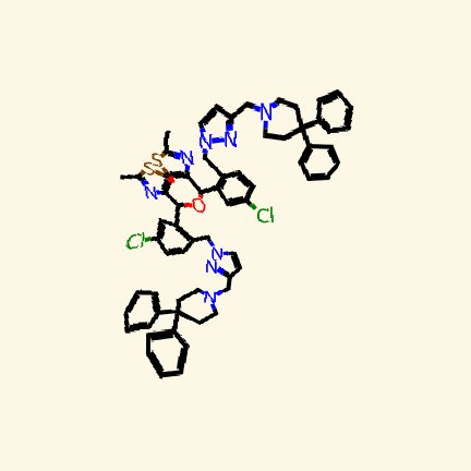 Cc1nc(C(OC(c2csc(C)n2)c2cc(Cl)ccc2Cn2ccc(CN3CCC(c4ccccc4)(c4ccccc4)CC3)n2)c2cc(Cl)ccc2Cn2ccc(CN3CCC(c4ccccc4)(c4ccccc4)CC3)n2)cs1